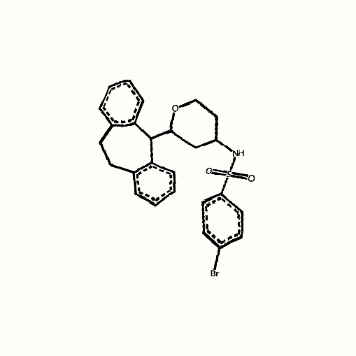 O=S(=O)(NC1CCOC(C2c3ccccc3CCc3ccccc32)C1)c1ccc(Br)cc1